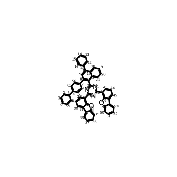 c1ccc(-c2ccc(-c3cc(-c4ccccc4)c4ccccc4c3-c3nc(-c4cccc5c4oc4ccccc45)nc(-c4cccc5c4oc4ccccc45)n3)cc2)cc1